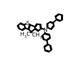 CC1(C)c2cc(N(c3ccc(-c4ccccc4)cc3)c3ccc(-c4ccccc4)cc3)ccc2-c2sc3ccccc3c21